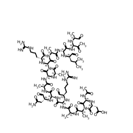 CC(=O)N[C@@H](N[C@@H](C=O)CC(=O)O)C(=O)N[C@@H](C)C(=O)N[C@@H](C)C(=O)N[C@@H](N[C@@H](C=O)CCCNC(=N)N)C(=O)N[C@@H](N[C@@H](C=O)CC(N)=O)C(=O)N[C@@H](C)C(=O)N[C@@H](N[C@@H](C)C=O)C(=O)N[C@@H](N[C@@H](C=O)CCCNC(=N)N)C(=O)N[C@@H](C)C(=O)N[C@@H](N[C@@H](C=O)CC(C)C)C(=O)N[C@@H](N[C@@H](C)C=O)C(C)=O